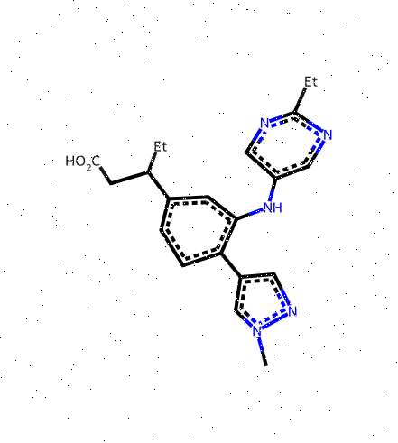 CCc1ncc(Nc2cc(C(CC)CC(=O)O)ccc2-c2cnn(C)c2)cn1